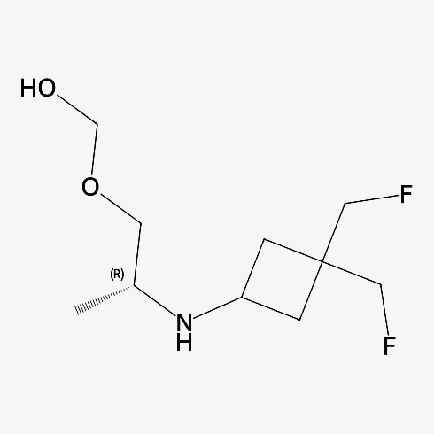 C[C@H](COCO)NC1CC(CF)(CF)C1